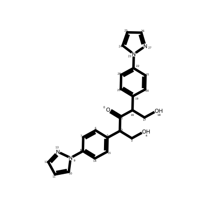 O=C(C(CO)c1ccc(-n2cccn2)cc1)C(CO)c1ccc(-n2cccn2)cc1